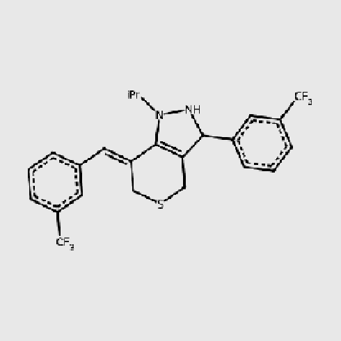 CC(C)N1NC(c2cccc(C(F)(F)F)c2)C2=C1C(=Cc1cccc(C(F)(F)F)c1)CSC2